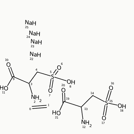 C=C.NC(CS(=O)(=O)O)C(=O)O.NC(CS(=O)(=O)O)C(=O)O.[NaH].[NaH].[NaH].[NaH]